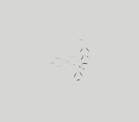 COc1ccc(S(=O)(=O)c2cnc3ccc(OC(F)(F)F)cc3c2N2CCC(N3CCC(O)CC3)CC2)cc1